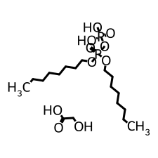 CCCCCCCCOP(=O)(OCCCCCCCC)OP(=O)(O)O.O=C(O)CO